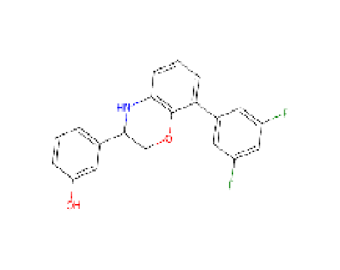 Oc1cccc(C2COc3c(cccc3-c3cc(F)cc(F)c3)N2)c1